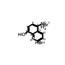 Br.Br.Nc1ccc(O)c2ncccc12